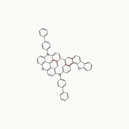 c1ccc(-c2ccc(N(c3ccc(-c4ccccc4)cc3)c3cccc4c3-c3cccc5c(N(c6ccc(-c7ccccc7)cc6)c6ccc(-c7cccc8c7oc7ccccc78)cc6)ccc(c35)O4)cc2)cc1